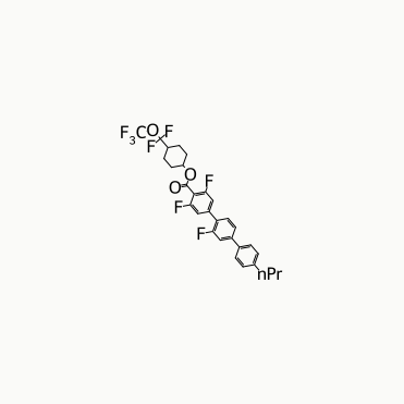 CCCc1ccc(-c2ccc(-c3cc(F)c(C(=O)OC4CCC(C(F)(F)OC(F)(F)F)CC4)c(F)c3)c(F)c2)cc1